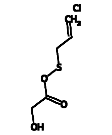 C=CCSOC(=O)CO.[C]